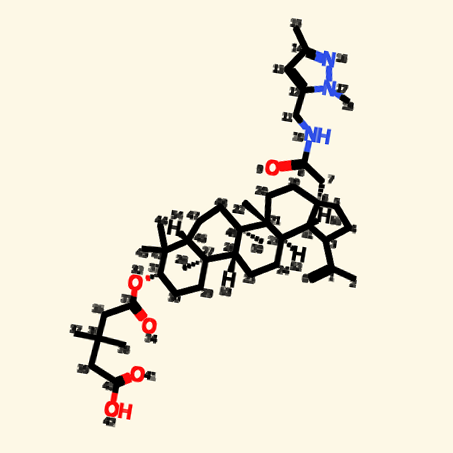 C=C(C)C1CC[C@]2(CC(=O)NCc3cc(C)nn3C)CC[C@]3(C)[C@H](CC[C@@H]4[C@@]5(C)CC[C@H](OC(=O)CC(C)(C)CC(=O)O)C(C)(C)[C@@H]5CC[C@]43C)[C@@H]12